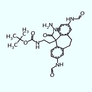 CC(C)(C)OC(=O)NCCC1(C(=O)NN)c2ccc(NC=O)cc2CCc2cc(NC=O)ccc21